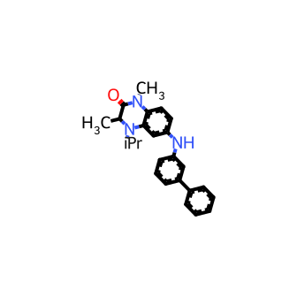 CC(C)N1c2cc(Nc3cccc(-c4ccccc4)c3)ccc2N(C)C(=O)C1C